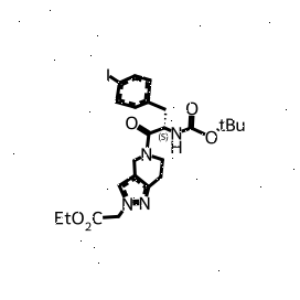 CCOC(=O)Cn1cc2c(n1)CCN(C(=O)[C@H](Cc1ccc(I)cc1)NC(=O)OC(C)(C)C)C2